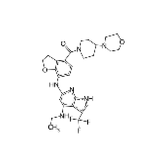 CCNc1cc(Nc2ccc(C(=O)N3CCC(N4CCOCC4)CC3)c3c2OCC3)nc2[nH]cc(C(F)(F)F)c12